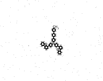 Cc1ccc(-c2ccc(-c3ccc(N(c4ccc(-c5cccc6c5oc5ccccc56)cc4)c4ccc(-c5cccc6c5oc5ccccc56)cc4)cc3)cc2)cc1